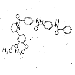 CCOc1cc(C2=NN(C(=O)c3ccc(NC(=O)c4ccc(NC(=O)c5ccccc5)cc4)cc3)CCC2)ccc1OC